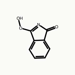 O=C1N=C(OO)c2ccccc21